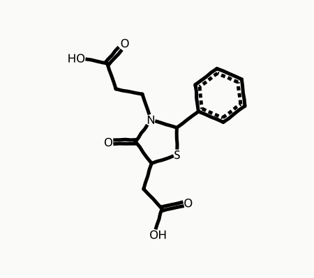 O=C(O)CCN1C(=O)C(CC(=O)O)SC1c1ccccc1